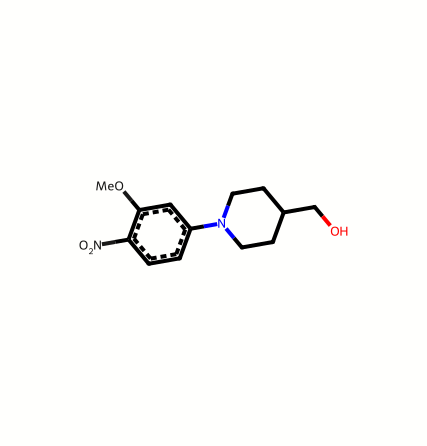 COc1cc(N2CCC(CO)CC2)ccc1[N+](=O)[O-]